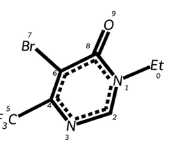 CCn1cnc(C(F)(F)F)c(Br)c1=O